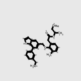 COCC(C)OC(=O)Cc1cccc(C)c1OCc1cc(-c2cccc(CN)c2)c2occc2c1